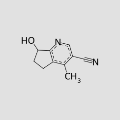 Cc1c(C#N)cnc2c1CCC2O